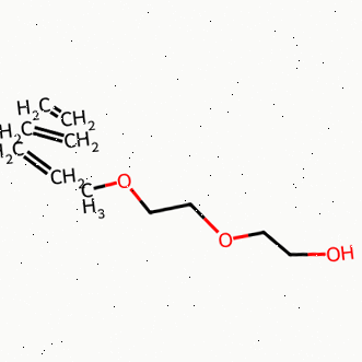 C=C.C=C.C=C.COCCOCCO